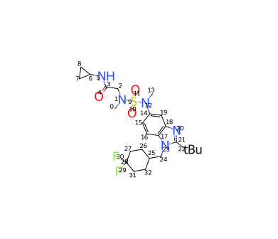 CN(CC(=O)NC1CC1)S(=O)(=O)N(C)c1ccc2c(c1)nc(C(C)(C)C)n2CC1CCC(F)(F)CC1